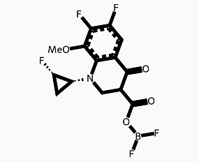 COc1c(F)c(F)cc2c1N([C@@H]1C[C@@H]1F)CC(C(=O)OB(F)F)C2=O